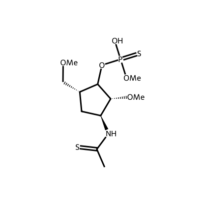 COC[C@H]1C[C@H](NC(C)=S)[C@@H](OC)C1OP(O)(=S)OC